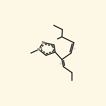 CC/C=C(\C=C/C(C)CC)c1cnn(C)c1